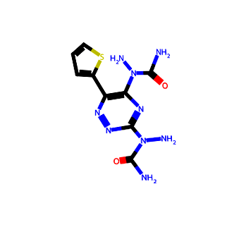 NC(=O)N(N)c1nnc(-c2cccs2)c(N(N)C(N)=O)n1